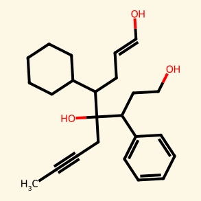 CC#CCC(O)(C(CCO)c1ccccc1)C(CC=CO)C1CCCCC1